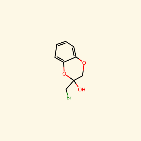 OC1(CBr)COc2ccccc2O1